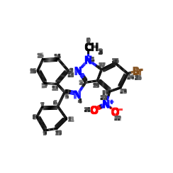 Cn1nc(N=C(c2ccccc2)c2ccccc2)c2c([N+](=O)[O-])cc(Br)cc21